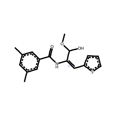 COC(O)/C(=C\c1cccs1)NC(=O)c1cc(C)cc(C)c1